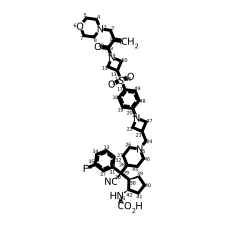 C=C(CN1CCOCC1)C(=O)N1CC(S(=O)(=O)c2ccc(N3CC(CN4CCC([C@@](C#N)(c5cccc(F)c5)[C@H]5CCC[C@@H]5NC(=O)O)CC4)C3)cc2)C1